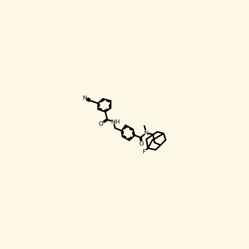 CN(C(=O)c1ccc(CNC(=O)c2cccc(C#N)c2)cc1)C12CC3CC(CC(F)(C3)C1)C2